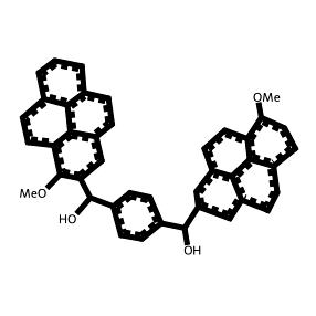 COc1ccc2ccc3cc(C(O)c4ccc(C(O)c5cc6ccc7cccc8ccc(c5OC)c6c78)cc4)cc4ccc1c2c34